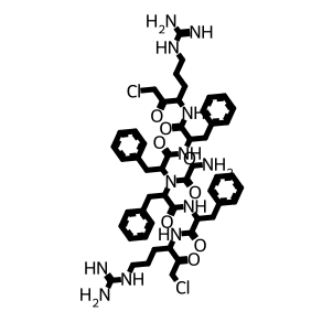 N=C(N)NCCCC(NC(=O)C(Cc1ccccc1)NC(=O)C(Cc1ccccc1)N(C(=O)C(N)=O)C(Cc1ccccc1)C(=O)NC(Cc1ccccc1)C(=O)NC(CCCNC(=N)N)C(=O)CCl)C(=O)CCl